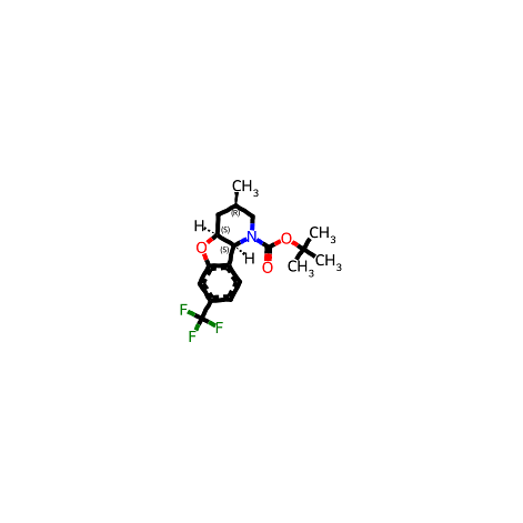 C[C@@H]1C[C@@H]2Oc3cc(C(F)(F)F)ccc3[C@@H]2N(C(=O)OC(C)(C)C)C1